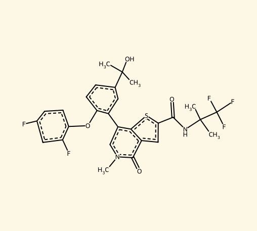 Cn1cc(-c2cc(C(C)(C)O)ccc2Oc2ccc(F)cc2F)c2sc(C(=O)NC(C)(C)C(F)(F)F)cc2c1=O